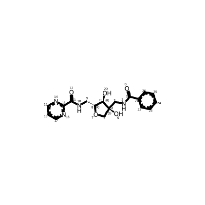 O=C(NC[C@]1(O)CO[C@H](CNC(=O)c2ncccn2)[C@H]1O)c1ccccc1